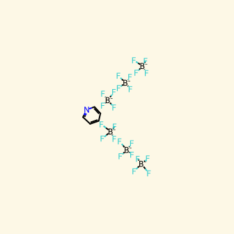 F[B-](F)(F)F.F[B-](F)(F)F.F[B-](F)(F)F.F[B-](F)(F)F.F[B-](F)(F)F.F[B-](F)(F)F.c1ccncc1